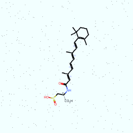 CC1=C(/C=C/C(C)=C/C=C/C(C)=C/C(=O)N[C@@H](CS(=O)O)C(=O)O)C(C)(C)CCC1